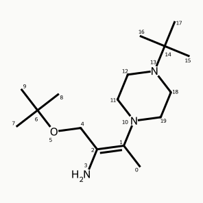 C/C(=C(\N)COC(C)(C)C)N1CCN(C(C)(C)C)CC1